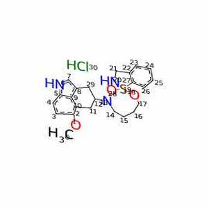 COc1ccc2[nH]cc3c2c1CC(N1CCCCOS2(NCc4ccccc42)O1)C3.Cl